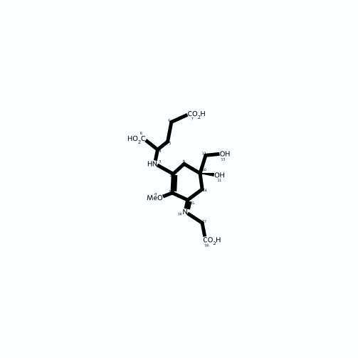 COC1=C(NC(CCC(=O)O)C(=O)O)C[C@](O)(CO)CC1=NCC(=O)O